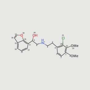 COc1ccc(CCNCC(O)c2cccc3ccoc23)c(Cl)c1OC